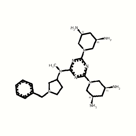 CN(c1nc(N2C[C@H](N)C[C@H](N)C2)nc(N2C[C@H](N)C[C@H](N)C2)n1)C1CCN(Cc2ccccc2)C1